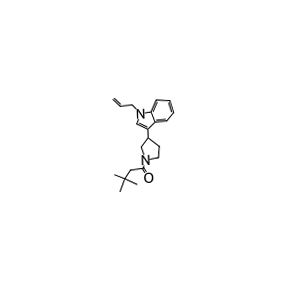 C=CCn1cc(C2CCN(C(=O)CC(C)(C)C)C2)c2ccccc21